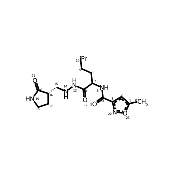 Cc1cc(C(=O)NC(CCC(C)C)C(=O)NNC[C@@H]2CCNC2=O)no1